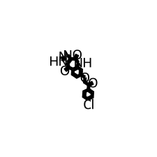 O=C(COc1ccc2c(=O)c3[nH]nnc3c(=O)[nH]c2c1)c1ccc(Cl)cc1